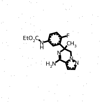 CCOC(=O)Nc1ccc(F)c(C2(C)Cn3nccc3C(N)=N2)c1